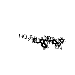 N#Cc1cc(-c2nc(-c3ccc(CN4CC(C(=O)O)C4)c4ccccc34)no2)ccc1OC1CCCC1